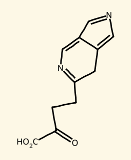 O=C(O)C(=O)CCC1=NC=C2C=NC=C2C1